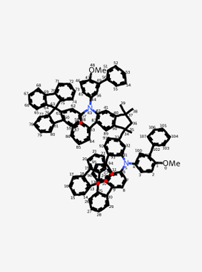 COc1ccc(N(c2ccc3c(c2)C2(c4ccccc4-c4ccccc42)c2ccccc2-3)c2cc(C3(C)CC(C)(C)c4cc(N(c5ccc(OC)c(-c6ccccc6)c5)c5ccc6c(c5)C5(c7ccccc7-c7ccccc75)c5ccccc5-6)c(-c5ccccc5)cc43)ccc2-c2ccccc2)cc1-c1ccccc1